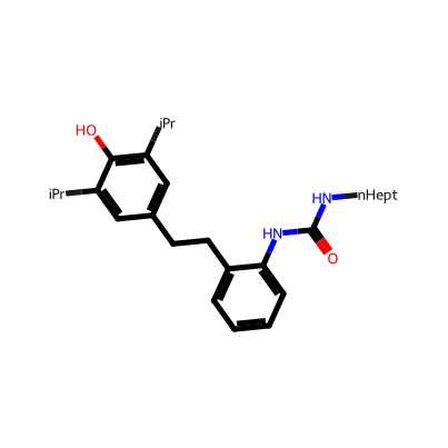 CCCCCCCNC(=O)Nc1ccccc1CCc1cc(C(C)C)c(O)c(C(C)C)c1